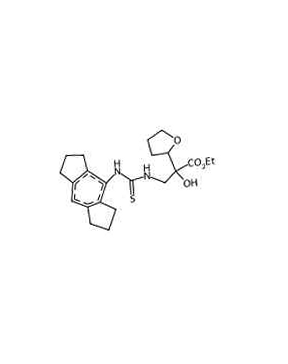 CCOC(=O)C(O)(CNC(=S)Nc1c2c(cc3c1CCC3)CCC2)C1CCCO1